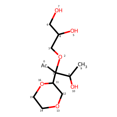 CC(=O)C(OCC(O)CO)(C(C)O)C1COCCO1